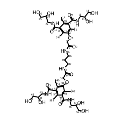 O=C(COc1c(I)c(C(=O)NCC(O)CO)c(I)c(C(=O)NCC(O)CO)c1I)NCCCNC(=O)COc1c(I)c(C(=O)NCC(O)CO)c(I)c(C(=O)NCC(O)CO)c1I